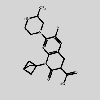 CC1CN(c2nc3c(cc2F)CC(C(=O)O)C(=O)N3C23CC(C2)C3)CCN1